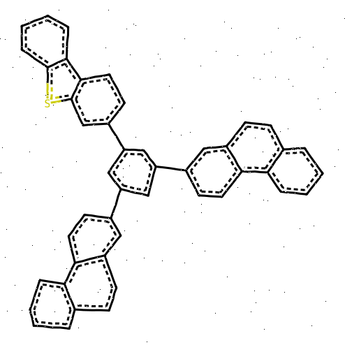 c1ccc2c(c1)ccc1cc(-c3cc(-c4ccc5c(ccc6ccccc65)c4)cc(-c4ccc5c(c4)sc4ccccc45)c3)ccc12